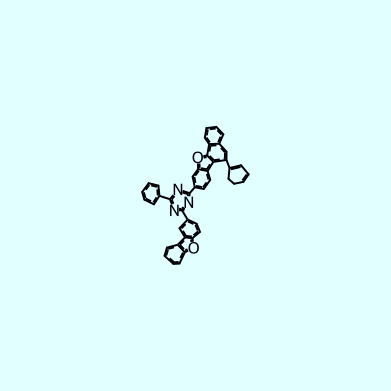 C1=CCCC(c2cc3ccccc3c3oc4cc(-c5nc(-c6ccccc6)nc(-c6ccc7oc8ccccc8c7c6)n5)ccc4c23)=C1